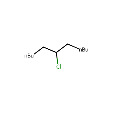 [CH2]CCCCC(Cl)CCCCC